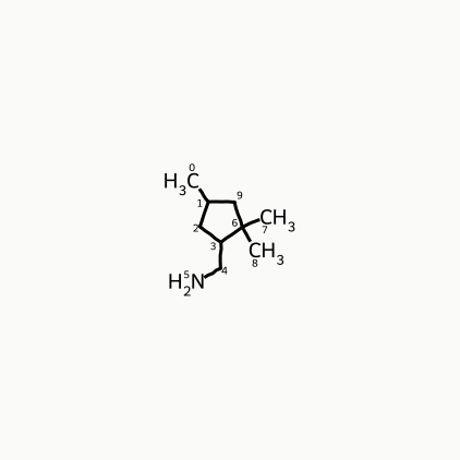 CC1CC(CN)C(C)(C)C1